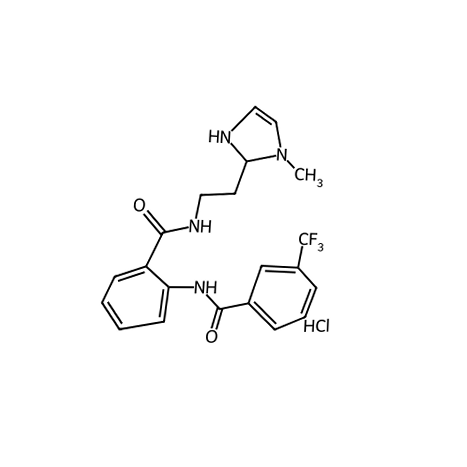 CN1C=CNC1CCNC(=O)c1ccccc1NC(=O)c1cccc(C(F)(F)F)c1.Cl